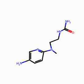 CN(CCNC(N)=O)c1ccc(N)cn1